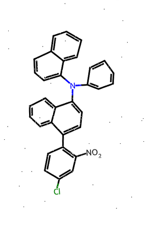 O=[N+]([O-])c1cc(Cl)ccc1-c1ccc(N(c2ccccc2)c2cccc3ccccc23)c2ccccc12